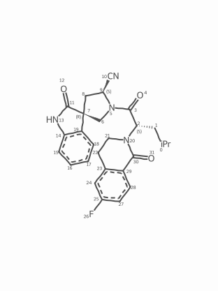 CC(C)C[C@@H](C(=O)N1C[C@]2(C[C@H]1C#N)C(=O)Nc1ccccc12)N1CCc2cc(F)ccc2C1=O